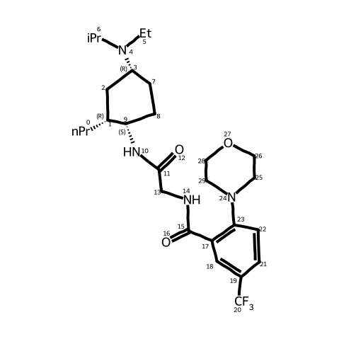 CCC[C@@H]1C[C@H](N(CC)C(C)C)CC[C@@H]1NC(=O)CNC(=O)c1cc(C(F)(F)F)ccc1N1CCOCC1